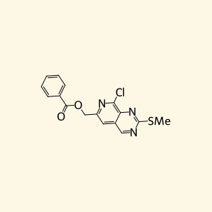 CSc1ncc2cc(COC(=O)c3ccccc3)nc(Cl)c2n1